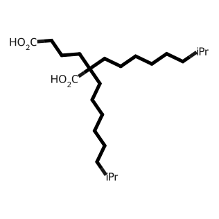 CC(C)CCCCCCC(CCCCCCC(C)C)(CCCC(=O)O)C(=O)O